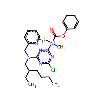 CCCCC(CC)CN(Cc1ccccn1)c1nc(Cl)nc([N+](C)(C)C(=O)OC2=CC[CH]C=C2)n1